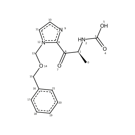 C[C@H](NC(=O)O)C(=O)c1nccn1COCc1ccccc1